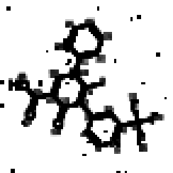 Cc1c(-c2ccnc(C(F)(F)F)c2)c(=O)c(C(=O)O)cn1-c1ccccn1